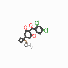 CSC1(C2CC(=O)C(C(=O)c3ccc(Cl)cc3Cl)C(=O)C2)CCC1